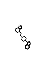 c1ccc2c(C3CCN(CCC4CCCc5sccc54)CC3)csc2c1